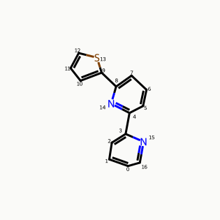 c1ccc(-c2cccc(-c3cccs3)n2)nc1